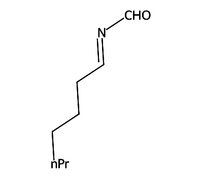 CCCCCCC=NC=O